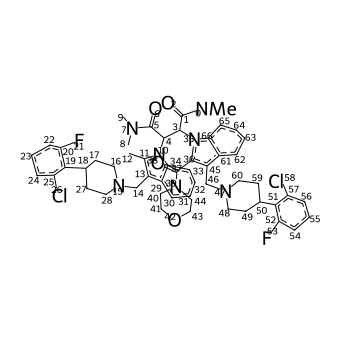 CNC(=O)C(C(C(=O)N(C)C)n1c(C)c(CN2CCC(c3c(F)cccc3Cl)CC2)c2ccccc21)n1c(C(=O)N2CCOCC2)c(CN2CCC(c3c(F)cccc3Cl)CC2)c2ccccc21